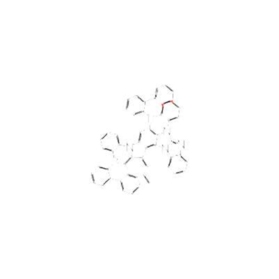 C=C/C=c1\c2n(c3cc4c5c(c13)n1c3ccccc3nc1n5-c1ccccc1B4c1ccccc1-c1ccccc1)-c1ccccc1B(c1ccccc1-c1ccccc1)C=2C